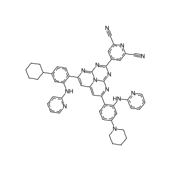 N#Cc1cc(C2=NC3=NC(c4ccc(C5CCCCC5)cc4Nc4ccccn4)=CC4=CC(c5ccc(N6CCCCC6)cc5Nc5ccccn5)=NC(=N2)N43)cc(C#N)n1